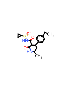 CCc1ccc(C2=C(C(=O)N[S+]([O-])C3CC3)C(=O)NC(C)C2)cc1